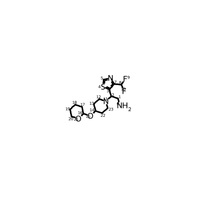 NCC(c1scnc1C(F)F)N1CCC(OC2CCCCO2)CC1